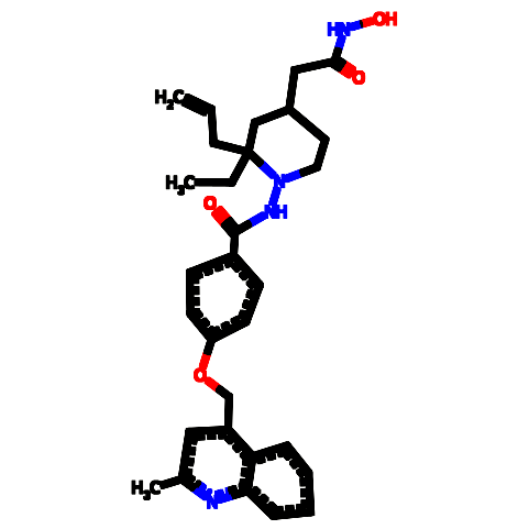 C=CCC1(CC)CC(CC(=O)NO)CCN1NC(=O)c1ccc(OCc2cc(C)nc3ccccc23)cc1